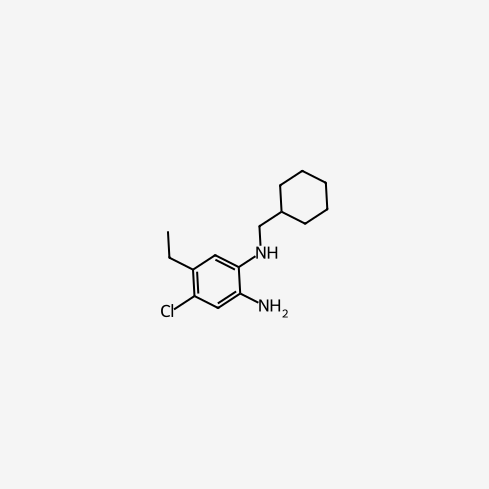 CCc1cc(NCC2CCCCC2)c(N)cc1Cl